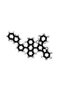 c1cc(-c2ccc3ccccc3c2)cc(-c2c3ccccc3c(-c3cc4c5ccccc5oc4c4c3oc3ccccc34)c3ccccc23)c1